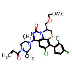 C=CC(=O)N1C[C@H](C)N(c2nc(=O)n3c4c(c(-c5ccc(F)cc5F)c(Cl)cc24)SC[C@@H]3COCOC)C[C@H]1C